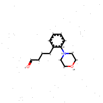 O=CCCCc1ccccc1N1CCOCC1